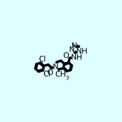 C[C@H]1c2cccc(C(=O)Nc3nnc[nH]3)c2CCN1C(=O)Cc1c(Cl)cccc1Cl